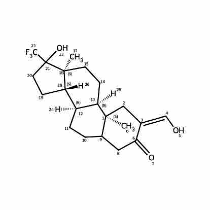 C[C@]12CC(=CO)C(=O)CC1CC[C@@H]1[C@H]2CC[C@@]2(C)[C@H]1CCC2(O)C(F)(F)F